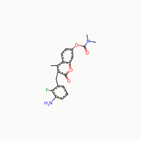 Cc1c(Cc2cccc(N)c2F)c(=O)oc2cc(OC(=O)N(C)C)ccc12